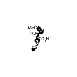 COc1ccc2nccc([C@H](N)CCC3CCN(CCSc4cccs4)C[C@H]3C(=O)O)c2c1